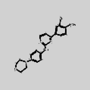 CNc1ccc(-c2ccnc(Nc3ccc(N4CCOCC4)cc3)n2)cc1C#N